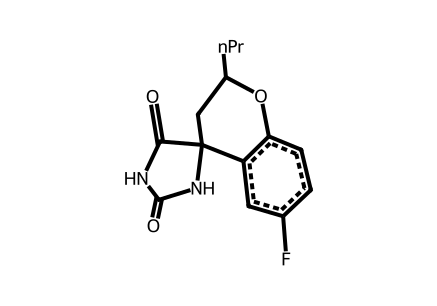 CCCC1CC2(NC(=O)NC2=O)c2cc(F)ccc2O1